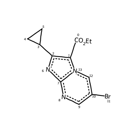 CCOC(=O)c1c(C2CC2)nc2ncc(Br)cn12